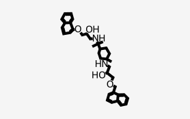 CC1(NCC(O)COCc2cccc3ccccc23)CCC(C(C)(C)NCC(O)COc2cccc3ccccc23)CC1